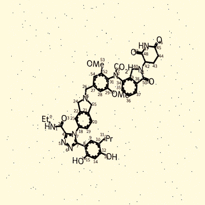 CCNC(=O)c1nnc(-c2cc(C(C)C)c(O)cc2O)n1-c1ccc2c(c1)CN(Cc1cc(OC)c(N(C(=O)O)c3cccc4c3CN(C3CCC(=O)NC3=O)C4=O)c(OC)c1)C2